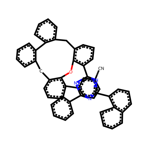 N#Cc1cccc(-c2cccc3c2Oc2c(cccc2-c2nc(-c4ccccc4)nc(-c4cccc5ccccc45)n2)Cc2ccccc2-c2ccccc2C3)c1